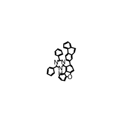 c1ccc(C2=NC(c3ccccc3)NC(c3c(-c4ccc5c(ccc6ccccc65)c4)ccc4oc5ccccc5c34)=N2)cc1